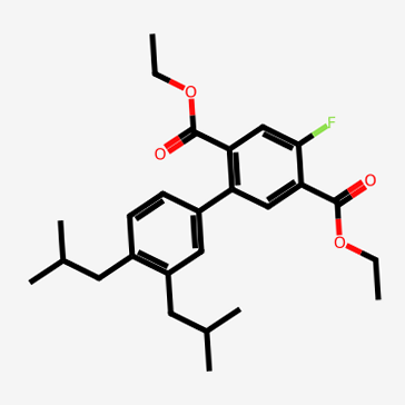 CCOC(=O)c1cc(-c2ccc(CC(C)C)c(CC(C)C)c2)c(C(=O)OCC)cc1F